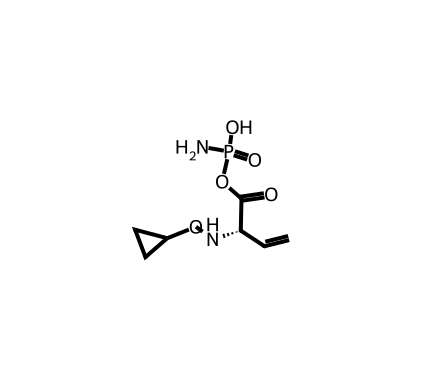 C=C[C@H](NOC1CC1)C(=O)OP(N)(=O)O